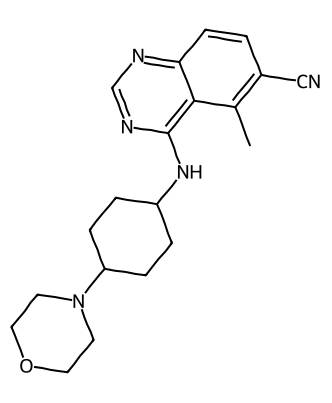 Cc1c(C#N)ccc2ncnc(NC3CCC(N4CCOCC4)CC3)c12